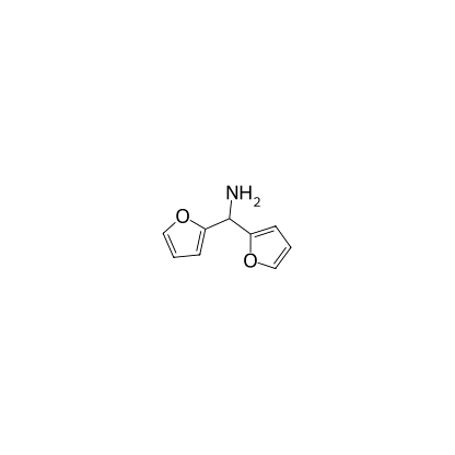 NC(c1ccco1)c1ccco1